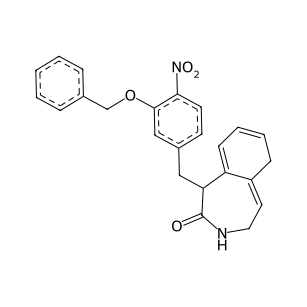 O=C1NCC=C2CC=CC=C2C1Cc1ccc([N+](=O)[O-])c(OCc2ccccc2)c1